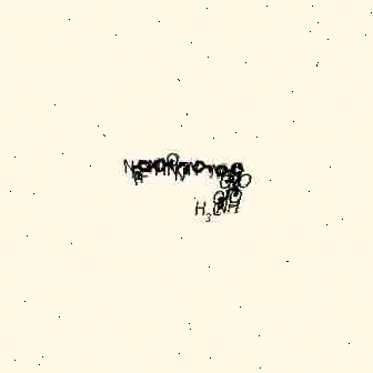 CNC(=O)CCC(C=O)N1C(=O)c2cccc(N3CCN(CCC4CCN(c5ccc(NC(=O)C6CCN(c7ccc(C#N)c(C(F)(F)F)c7)CC6)nc5)CC4)CC3)c2C1=O